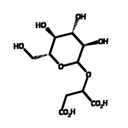 O=C(O)CC(OC1O[C@H](CO)[C@@H](O)[C@H](O)[C@H]1O)C(=O)O